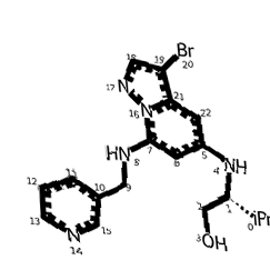 CC(C)[C@H](CO)Nc1cc(NCc2cccnc2)n2ncc(Br)c2c1